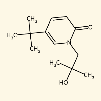 CC(C)(O)Cn1cc(C(C)(C)C)ccc1=O